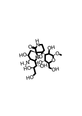 CO[C@@H]1OC(CO)[C@H](O)[C@H](C2(O)CCNC(=O)[C@]23C[C@@H](O)[C@@H](N)C([C@H](O)[C@H](O)CO)O3)C1O